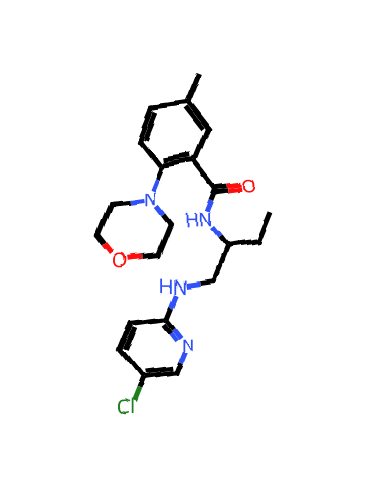 CCC(CNc1ccc(Cl)cn1)NC(=O)c1cc(C)ccc1N1CCOCC1